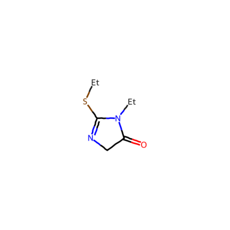 CCSC1=NCC(=O)N1CC